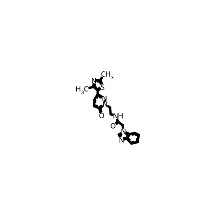 Cc1nc(C)c(-c2ccc(=O)n(CCNC(=O)Cn3cnc4ccccc43)n2)s1